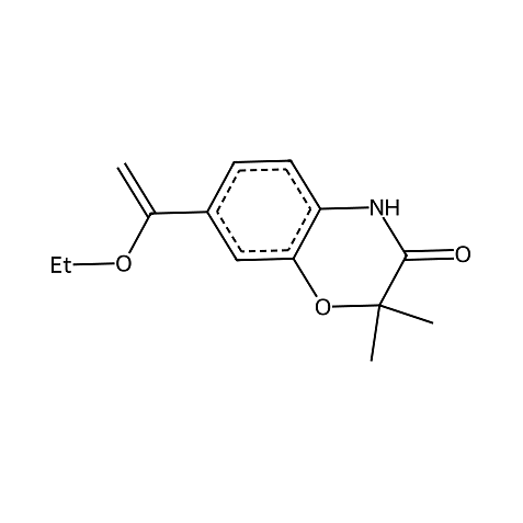 C=C(OCC)c1ccc2c(c1)OC(C)(C)C(=O)N2